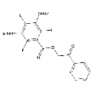 CC(=O)Nc1c(I)c(NC(C)=O)c(I)c(C(=O)OCC(=O)c2ccccc2)c1I